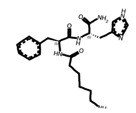 NCCCCCC(=O)N[C@@H](Cc1ccccc1)C(=O)N[C@@H](Cc1c[nH]cn1)C(N)=O